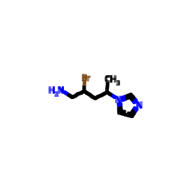 CC(CC(Br)CN)n1ccnc1